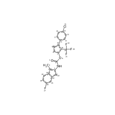 Cn1c(NC(=O)Oc2cnn(-c3ccc(Cl)cc3)c2C(F)(F)F)nc2cc(F)ccc21